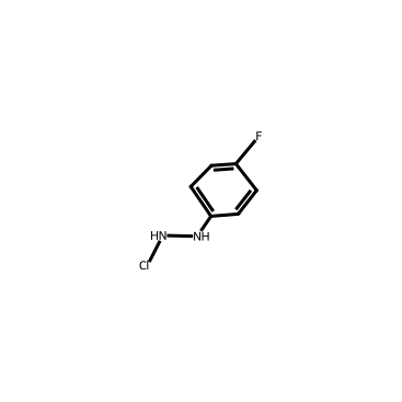 Fc1ccc(NNCl)cc1